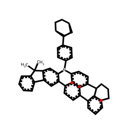 CC1(C)c2ccccc2-c2cc(-c3ccc(-c4ccccc4)cc3)c(N(c3ccc(C4CCCCC4)cc3)c3ccc(C4CC5CCC4CC5)cc3)cc21